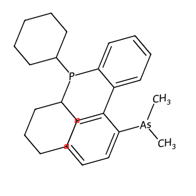 C[As](C)c1ccccc1-c1ccccc1P(C1CCCCC1)C1CCCCC1